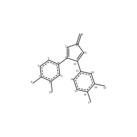 C=C1[C]=C(c2ccc(C)c(C)c2)C(c2ccc(C)c(C)c2)=C1